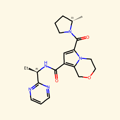 CC[C@@H](NC(=O)c1cc(C(=O)N2CCC[C@@H]2C)n2c1COCC2)c1ncccn1